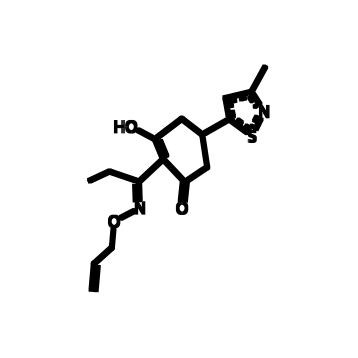 C=CCON=C(CC)C1=C(O)CC(c2cc(C)ns2)CC1=O